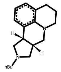 CCCCN1C[C@H]2CN3CCCc4cccc(c43)[C@H]2C1